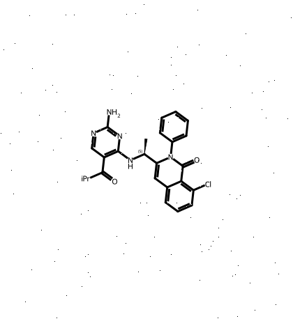 CC(C)C(=O)c1cnc(N)nc1N[C@@H](C)c1cc2cccc(Cl)c2c(=O)n1-c1ccccc1